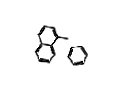 Cc1cccc2ccccc12.c1ccccc1